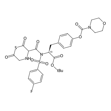 CC(C)(C)OC(=O)[C@H](Cc1ccc(OC(=O)N2CCOCC2)cc1)N(C(=O)C1NCC(=O)SC1=O)S(=O)(=O)c1ccc(F)cc1